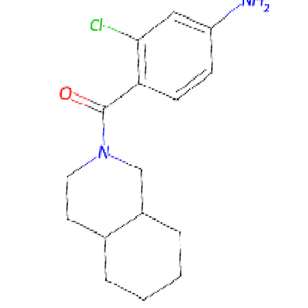 Nc1ccc(C(=O)N2CCC3CCCCC3C2)c(Cl)c1